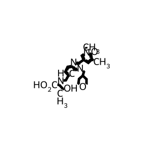 Cc1cc(-c2nc3ccc(CNC(C(=O)O)C(C)O)cc3n2CC2CCOCC2)cn(C)c1=O